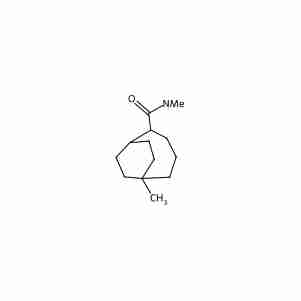 CNC(=O)C1CCCC2(C)CCC1CC2